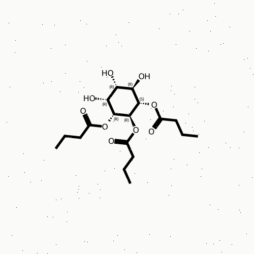 CCCC(=O)O[C@H]1[C@H](OC(=O)CCC)[C@H](O)[C@H](O)[C@@H](O)[C@@H]1OC(=O)CCC